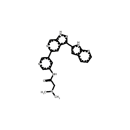 CN(C)CC(=O)Nc1cncc(-c2cc3c(-c4cc5cccnc5[nH]4)n[nH]c3cn2)c1